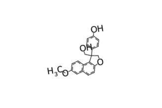 COc1ccc2c3c(ccc2c1)OCC3(CO)c1ccc(O)cc1